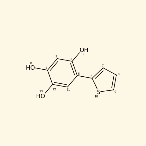 Oc1cc(O)c(-c2cccs2)cc1O